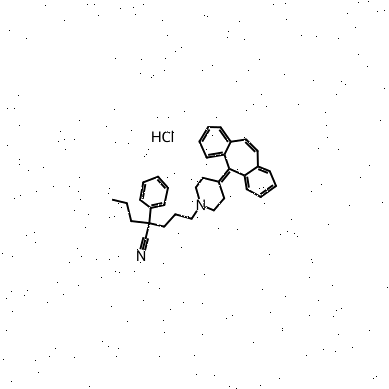 CCCC(C#N)(CCCN1CCC(=C2c3ccccc3C=Cc3ccccc32)CC1)c1ccccc1.Cl